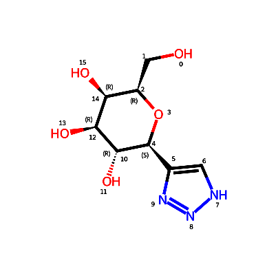 OC[C@H]1O[C@@H](c2c[nH]nn2)[C@H](O)[C@@H](O)[C@H]1O